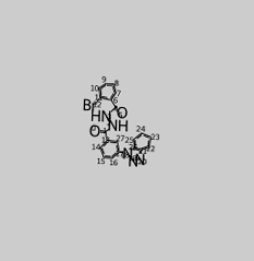 O=C(NNC(=O)c1ccccc1Br)c1cccc(-n2nnc3ccccc32)c1